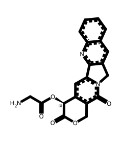 NCC(=O)O[C@@H]1C(=O)OCc2c1cc1n(c2=O)Cc2cc3ccccc3nc2-1